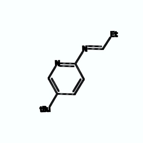 CC/C=N/c1ccc(C(C)(C)C)cn1